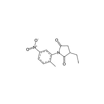 Cc1ccc([N+](=O)[O-])cc1N1C(=O)CC(CI)C1=O